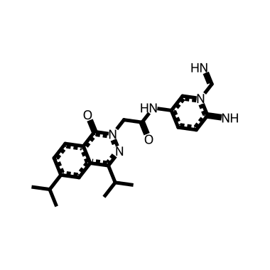 CC(C)c1ccc2c(=O)n(CC(=O)Nc3ccc(=N)n(C=N)c3)nc(C(C)C)c2c1